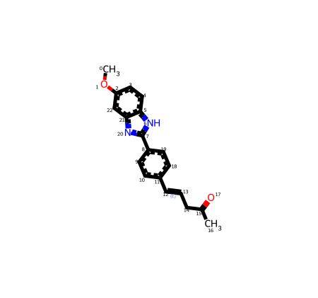 COc1ccc2[nH]c(-c3ccc(/C=C/CC(C)=O)cc3)nc2c1